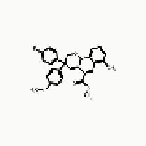 COC(=O)C1=Cc2c(C)cccc2C2OCC(c3ccc(F)cc3)(c3ccc(OC)cc3)C=C12